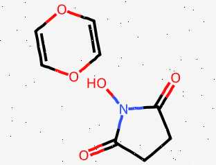 C1=COC=CO1.O=C1CCC(=O)N1O